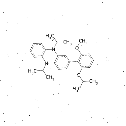 COc1cccc(OC(C)C)c1-c1ccc2c(c1)N(C(C)C)c1ccccc1N2C(C)C